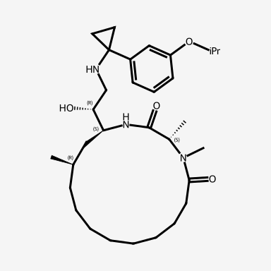 CC(C)Oc1cccc(C2(NC[C@@H](O)[C@@H]3C[C@H](C)CCCCCCCCC(=O)N(C)[C@@H](C)C(=O)N3)CC2)c1